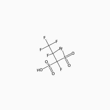 O=S(=O)(O)C(F)(C(F)(F)C(F)(F)F)S(=O)(=O)F